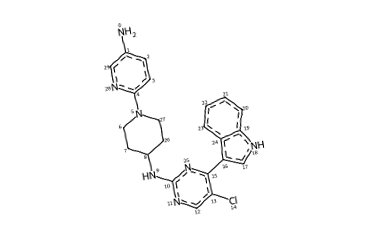 Nc1ccc(N2CCC(Nc3ncc(Cl)c(-c4c[nH]c5ccccc45)n3)CC2)nc1